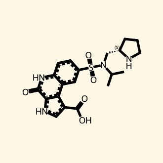 CC(C)N(C[C@@H]1CCCN1)S(=O)(=O)c1ccc2[nH]c(=O)c3[nH]cc(C(=O)O)c3c2c1